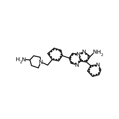 Nc1nn2cc(-c3cccc(CN4CCC(N)CC4)c3)cnc2c1-c1ccccn1